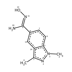 Cc1nn(C)c2ccc(/C(N)=N/O)cc12